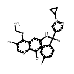 [2H]C(Nc1cc(Cl)c2ncc(C#N)c(NCC(Cl)(Cl)Cl)c2c1)(c1ccc(F)cc1)c1cn(C2CC2)nn1